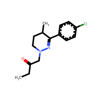 CCC(=O)CN1CCC(C)C(c2ccc(Cl)cc2)=N1